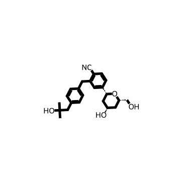 CC(C)(O)Cc1ccc(Cc2cc([C@H]3C[C@@H](O)C[C@@H](CO)O3)ccc2C#N)cc1